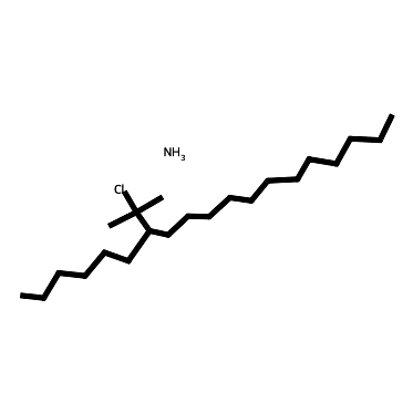 CCCCCCCCCCCCC(CCCCCC)C(C)(C)Cl.N